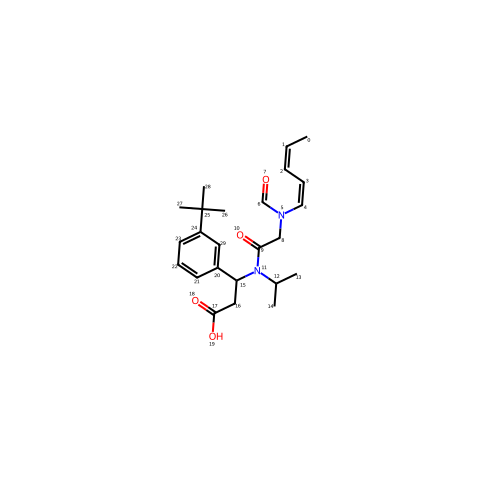 C/C=C\C=C/N(C=O)CC(=O)N(C(C)C)C(CC(=O)O)c1cccc(C(C)(C)C)c1